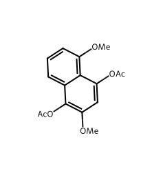 COc1cc(OC(C)=O)c2c(OC)cccc2c1OC(C)=O